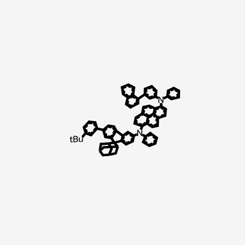 CC(C)(C)c1cccc(-c2ccc3c(c2)C2(c4ccc(N(c5ccccc5)c5ccc6ccc7c(N(c8ccccc8)c8cccc(-c9cccc%10ccccc9%10)c8)ccc8ccc5c6c87)cc4-3)C3CC4CC(C3)CC2C4)c1